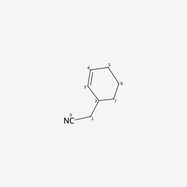 N#CCC1C=CCCC1